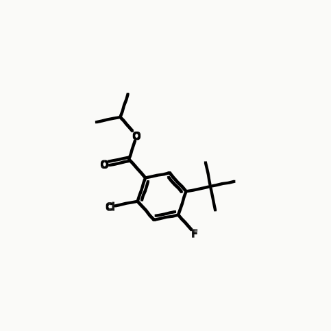 CC(C)OC(=O)c1cc(C(C)(C)C)c(F)cc1Cl